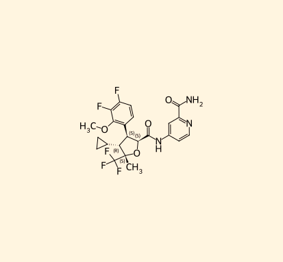 COc1c([C@H]2[C@@H](C(=O)Nc3ccnc(C(N)=O)c3)O[C@](C)(C(F)(F)F)[C@@H]2C2CC2)ccc(F)c1F